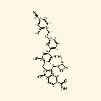 Cc1cc(Cn2c(=O)c3ccc(C(=O)O)cc3n2CC2CCO2)c(F)cc1-c1cccc(OCc2ccc(C#N)cc2F)n1